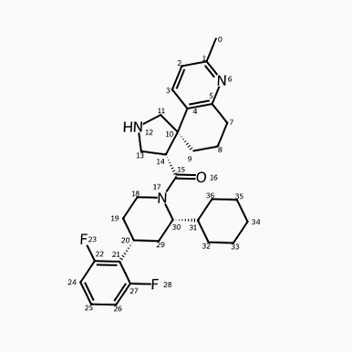 Cc1ccc2c(n1)CCC[C@]21CNC[C@H]1C(=O)N1CC[C@@H](c2c(F)cccc2F)C[C@H]1C1CCCCC1